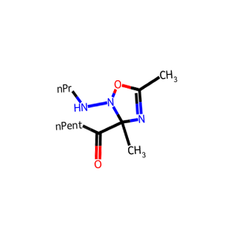 CCCCCC(=O)C1(C)N=C(C)ON1NCCC